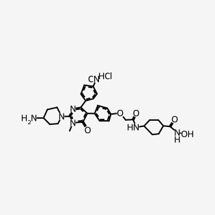 Cl.Cn1c(N2CCC(N)CC2)nc(-c2ccc(C#N)cc2)c(-c2ccc(OCC(=O)NC3CCC(C(=O)NO)CC3)cc2)c1=O